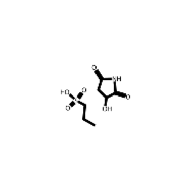 CCCS(=O)(=O)O.O=C1CC(O)C(=O)N1